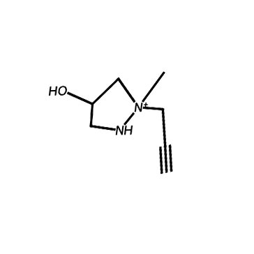 C#CC[N+]1(C)CC(O)CN1